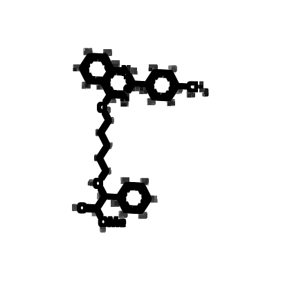 COC(=O)C(OCCCCCOc1nc(-c2ccc(C)cc2)nc2ccccc12)c1ccccc1